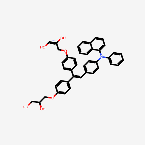 O/C=C(/O)COc1ccc(C(=Cc2ccc(N(c3ccccc3)c3cccc4ccccc34)cc2)c2ccc(OCC(O)CO)cc2)cc1